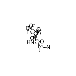 CCCN(CCC#N)c1cc(NC(C)=O)c(/N=N/c2cc(F)c([N+](=O)[O-])cc2[N+](=O)[O-])cc1OC